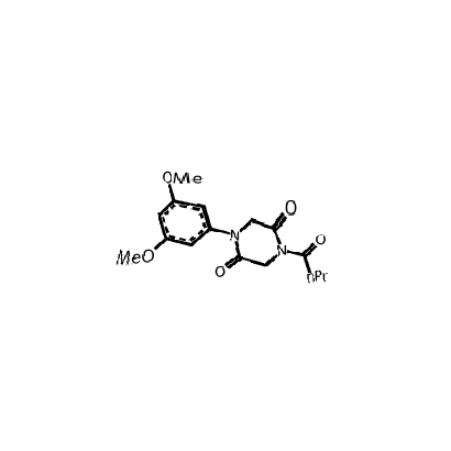 CCCC(=O)N1CC(=O)N(c2cc(OC)cc(OC)c2)CC1=O